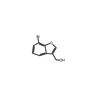 OCc1coc2c(Br)cccc12